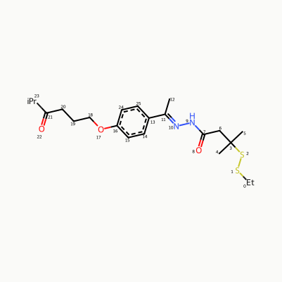 CCSSC(C)(C)CC(=O)N/N=C(\C)c1ccc(OCCCC(=O)C(C)C)cc1